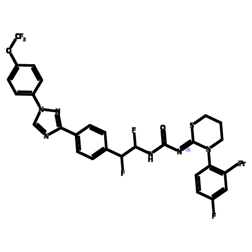 CC(C)c1cc(F)ccc1N1CCCS/C1=N\C(=O)NC(F)C(F)c1ccc(-c2ncn(-c3ccc(OC(F)(F)F)cc3)n2)cc1